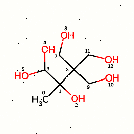 CC(O)(C(O)O)C(CO)(CO)CO